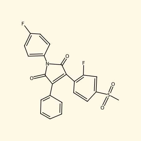 CS(=O)(=O)c1ccc(C2=C(c3ccccc3)C(=O)N(c3ccc(F)cc3)C2=O)c(F)c1